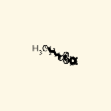 CCCCCCOC(=O)ON1CCCC1